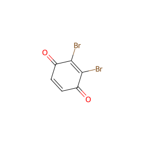 O=C1C=CC(=O)C(Br)=C1Br